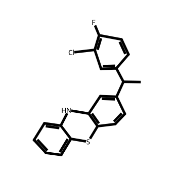 CC(c1ccc(F)c(Cl)c1)c1ccc2c(c1)Nc1ccccc1S2